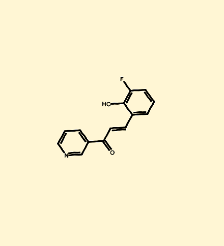 O=C(C=Cc1cccc(F)c1O)c1cccnc1